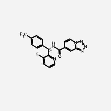 O=C(N[C@@H](c1ccc(C(F)(F)F)cc1)c1ncccc1F)c1ccn2nnnc2c1